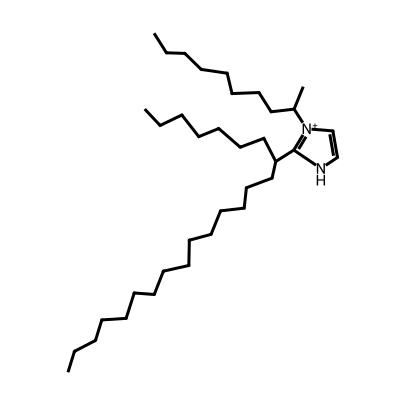 CCCCCCCCCCCCCCCC(CCCCCCC)c1[nH]cc[n+]1C(C)CCCCCCCC